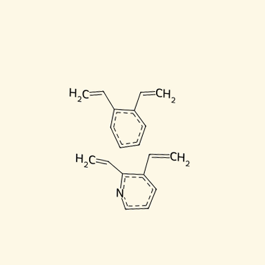 C=Cc1ccccc1C=C.C=Cc1cccnc1C=C